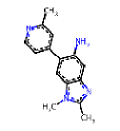 Cc1cc(-c2cc3c(cc2N)nc(C)n3C)ccn1